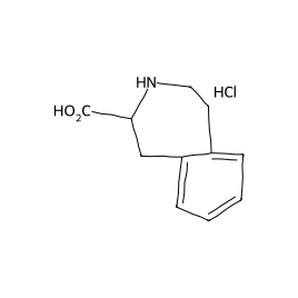 Cl.O=C(O)C1Cc2ccccc2CCN1